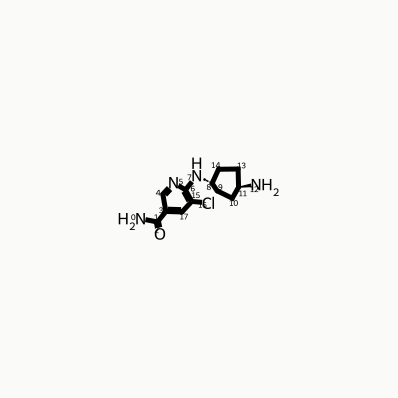 NC(=O)c1cnc(N[C@H]2CC[C@H](N)CC2)c(Cl)c1